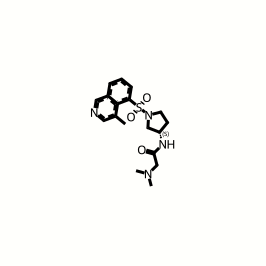 Cc1cncc2cccc(S(=O)(=O)N3CC[C@H](NC(=O)CN(C)C)C3)c12